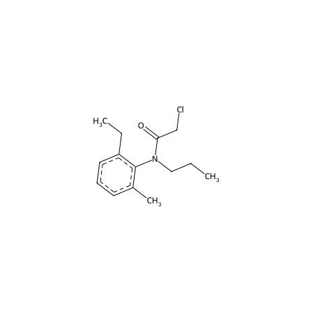 CCCN(C(=O)CCl)c1c(C)cccc1CC